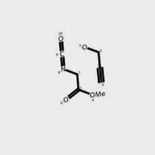 C#CC[O].COC(=O)CN=C=O